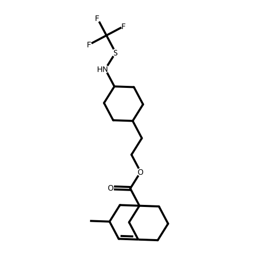 CC1C=C2CCCC(C(=O)OCCC3CCC(NSC(F)(F)F)CC3)(C2)C1